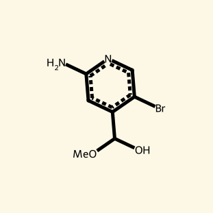 COC(O)c1cc(N)ncc1Br